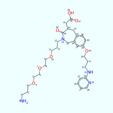 NCCCOCCOCCOCCCN1Cc2cc(OCCCNc3ccccn3)ccc2CC(CC(=O)O)C1=O